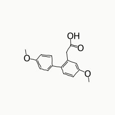 COc1ccc(-c2ccc(OC)cc2CC(=O)O)cc1